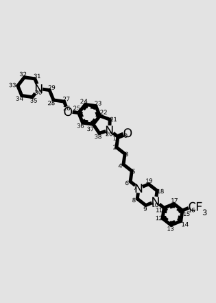 O=C(CCCCCN1CCN(c2cccc(C(F)(F)F)c2)CC1)N1Cc2ccc(OCCCN3CCCCC3)cc2C1